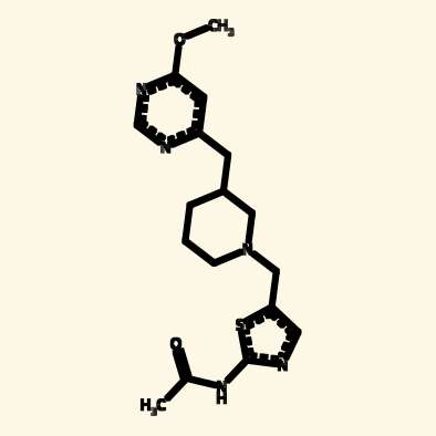 COc1cc(CC2CCCN(Cc3cnc(NC(C)=O)s3)C2)ncn1